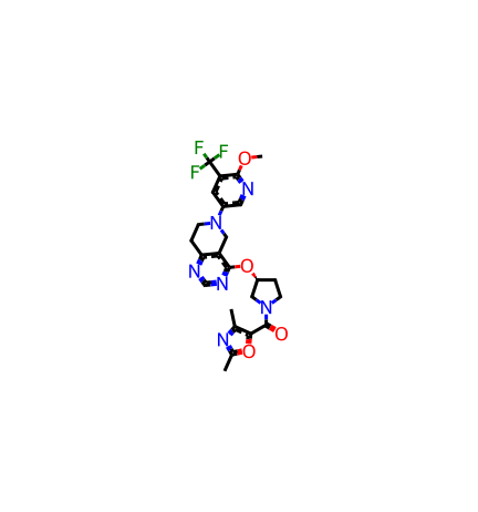 COc1ncc(N2CCc3ncnc(O[C@H]4CCN(C(=O)c5oc(C)nc5C)C4)c3C2)cc1C(F)(F)F